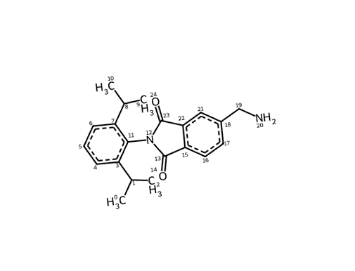 CC(C)c1cccc(C(C)C)c1N1C(=O)c2ccc(CN)cc2C1=O